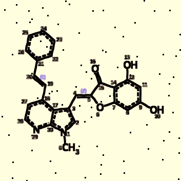 Cn1cc(/C=C2\Oc3cc(O)cc(O)c3C2=O)c2c(/C=C/c3ccccc3)ccnc21